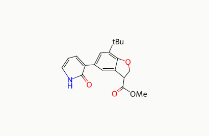 COC(=O)C1COc2c1cc(-c1ccc[nH]c1=O)cc2C(C)(C)C